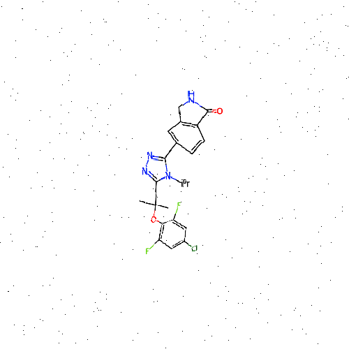 CC(C)n1c(-c2ccc3c(c2)CNC3=O)nnc1C(C)(C)Oc1c(F)cc(Cl)cc1F